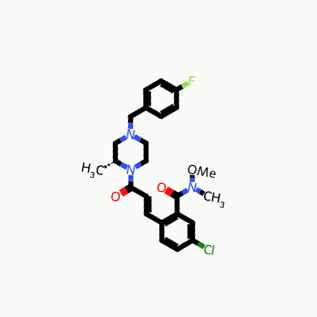 CON(C)C(=O)c1cc(Cl)ccc1/C=C/C(=O)N1CCN(Cc2ccc(F)cc2)C[C@H]1C